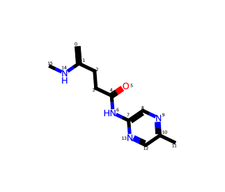 C=C(CCC(=O)Nc1cnc(C)cn1)NC